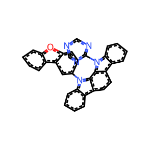 c1ccc2c(c1)oc1ccc(-n3c4ccccc4c4ccc5c6ccccc6n(-c6ncncn6)c5c43)cc12